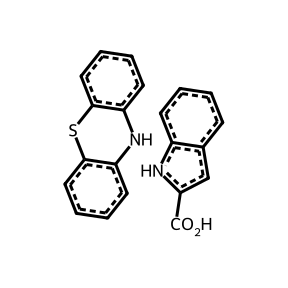 O=C(O)c1cc2ccccc2[nH]1.c1ccc2c(c1)Nc1ccccc1S2